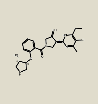 CCC1=C(Cl)C(C)=N/C(=C2\CN(C(=O)c3ccccc3O[C@H]3CNC[C@@H]3O)CC2=N)N1